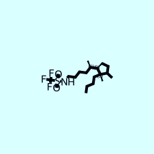 CCCC[C@@]1(C)C(C)CC[C@@H]1[C@H](C)CCCCNS(=O)(=O)C(F)(F)F